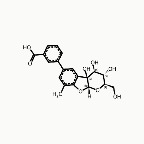 Cc1cc(-c2cccc(C(=O)O)c2)cc2c1O[C@H]1O[C@H](CO)[C@@H](O)[C@H](O)[C@@]21O